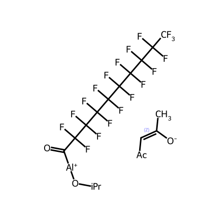 CC(=O)/C=C(/C)[O-].CC(C)[O][Al+][C](=O)C(F)(F)C(F)(F)C(F)(F)C(F)(F)C(F)(F)C(F)(F)C(F)(F)C(F)(F)C(F)(F)F